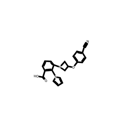 N#Cc1ccc(OC2CN(c3cccc(C(=O)O)c3-n3cccc3)C2)cc1